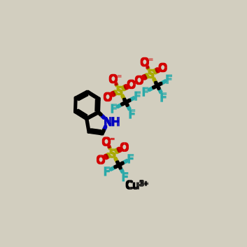 O=S(=O)([O-])C(F)(F)F.O=S(=O)([O-])C(F)(F)F.O=S(=O)([O-])C(F)(F)F.[Cu+3].c1ccc2[nH]ccc2c1